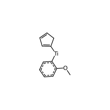 COc1cccc[c]1[Ti][C]1=CC=CC1